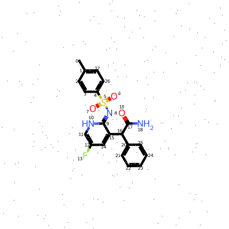 Cc1ccc(S(=O)(=O)N=c2[nH]cc(F)cc2C(C(N)=O)c2ccccc2)cc1